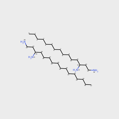 CCCCCCCCCCCCC(N)CCN.CCCCCCCCCCCCCC(N)CCN